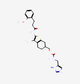 CCOc1ccccc1CCC(=O)Nc1sc2c(c1C#N)CCC(COC(=O)NCc1cncn1C)C2